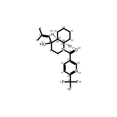 CC(C)=CC1(O)CCN(C(=O)c2ccc(C(F)(F)F)nc2)[C@@H]2CCCC[C@@H]21